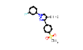 CS(=O)(=O)c1ccc(-c2nn(-c3cccc(F)c3)cc2C=O)cc1